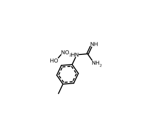 Cc1ccc(NC(=N)N)cc1.O=[N+]([O-])O